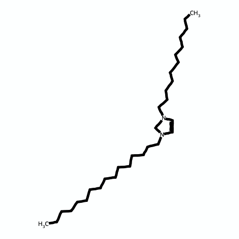 CCCCCCCCCCCCCCCCN1C=CN(CCCCCCCCCCCC)C1